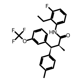 CCc1c(F)cccc1NC(=O)[C@@H](C)[C@@H](c1ccc(C)cc1)c1cccc(OC(F)(F)F)c1